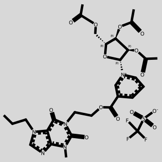 CCCn1cnc2c1c(=O)n(CCOC(=O)c1ccc[n+]([C@@H]3O[C@H](COC(C)=O)[C@@H](OC(C)=O)[C@H]3OC(C)=O)c1)c(=O)n2C.O=S(=O)([O-])C(F)(F)F